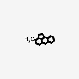 Cc1ccc2cc3ccccc3c3c2c1C=C3